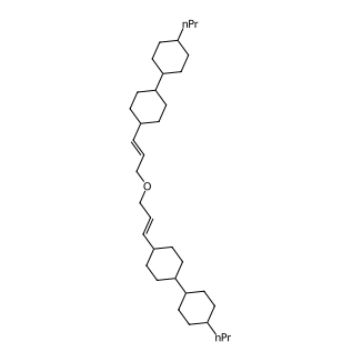 CCCC1CCC(C2CCC(/C=C/COC/C=C/C3CCC(C4CCC(CCC)CC4)CC3)CC2)CC1